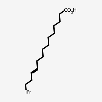 CC(C)CC/C=C/CCCCCCCCCC(=O)O